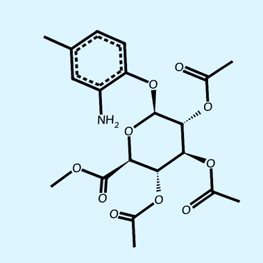 COC(=O)[C@H]1O[C@@H](Oc2ccc(C)cc2N)[C@H](OC(C)=O)[C@@H](OC(C)=O)[C@@H]1OC(C)=O